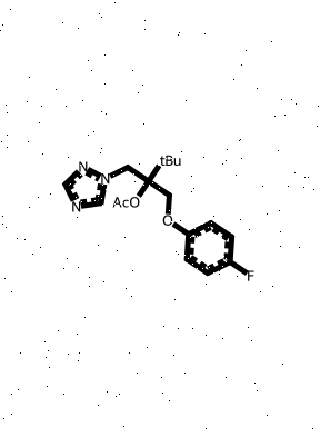 CC(=O)OC(COc1ccc(F)cc1)(Cn1cncn1)C(C)(C)C